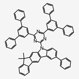 CC1(C)c2ccccc2-c2cc3c4cc(-c5ccccc5)ccc4n(-c4nc(-c5cc(-c6ccccc6)cc(-c6ccccc6)c5)nc(-c5cc(-c6ccccc6)cc(-c6ccccc6)c5)n4)c3cc21